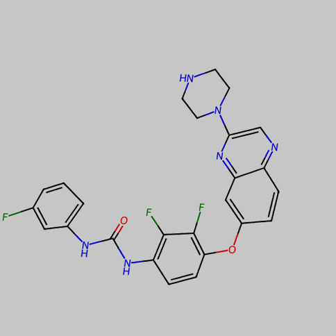 O=C(Nc1cccc(F)c1)Nc1ccc(Oc2ccc3ncc(N4CCNCC4)nc3c2)c(F)c1F